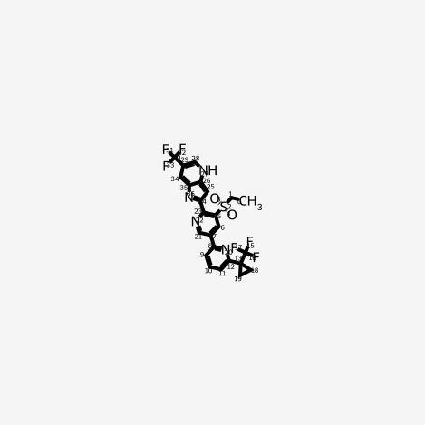 CCS(=O)(=O)c1cc(-c2cccc(C3(C(F)(F)F)CC3)n2)cnc1-c1cc2[nH]cc(C(F)(F)F)cc-2n1